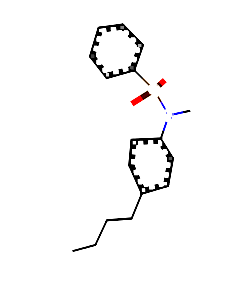 CN(c1ccc(CCCC(=O)O)cc1)S(=O)(=O)c1ccccc1